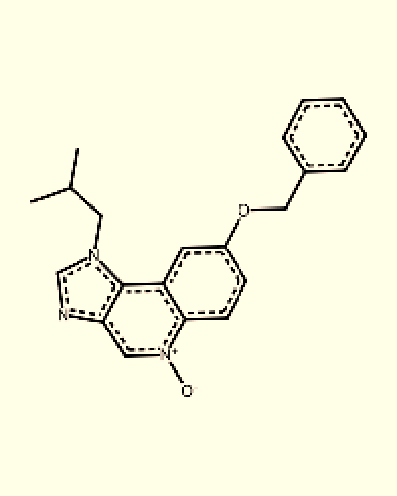 CC(C)Cn1cnc2c[n+]([O-])c3ccc(OCc4ccccc4)cc3c21